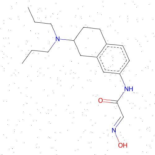 CCCN(CCC)C1CCc2ccc(NC(=O)/C=N/O)cc2C1